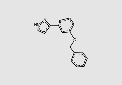 c1ccc(COc2cccc(-c3cc[nH]n3)c2)cc1